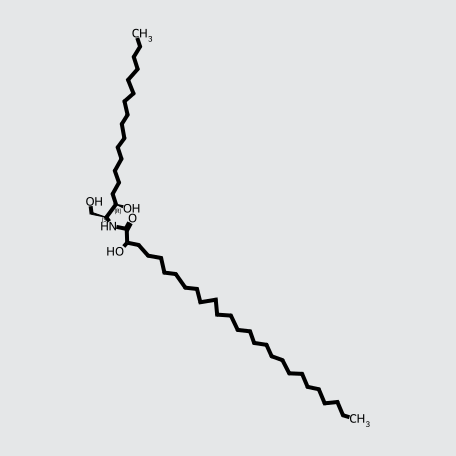 CCCCCCCCCCCCCCCCCCCCCCCCCC(O)C(=O)N[C@@H](CO)[C@H](O)CCCCCCCCCCCCCCC